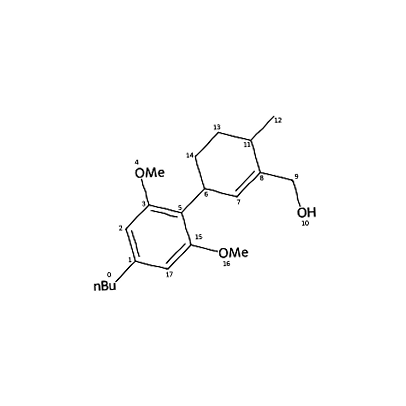 CCCCc1cc(OC)c(C2C=C(CO)C(C)CC2)c(OC)c1